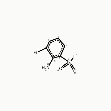 CCc1cccc(S(=O)(=O)F)c1N